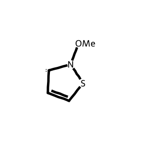 CON1[C]C=CS1